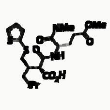 CNC(=O)[C@H](CCC(=O)OC)NC(=O)[C@@H](C(=O)O)[C@H](CSc1cccs1)CC(C)C